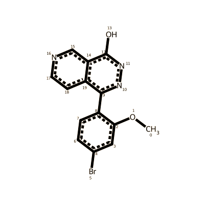 COc1cc(Br)ccc1-c1nnc(O)c2cnccc12